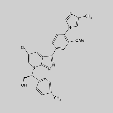 COc1cc(-c2nnc3n([C@H](CO)c4ccc(C)cc4)cc(Cl)cc2-3)ccc1-n1cnc(C)c1